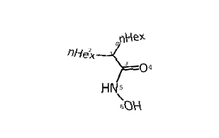 CCCCCCC(CCCCCC)C(=O)NO